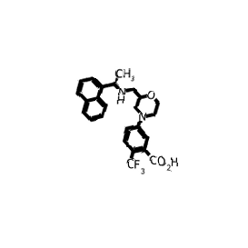 C[C@@H](NCC1CN(c2ccc(C(F)(F)F)c(C(=O)O)c2)CCO1)c1cccc2ccccc12